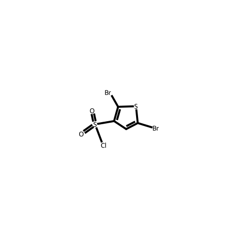 O=S(=O)(Cl)c1cc(Br)sc1Br